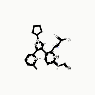 Cc1cccc(-c2nn(C3CCCC3)cc2-c2cc/c(=N/C=N)[nH]c2/C=C/C(N)=O)n1